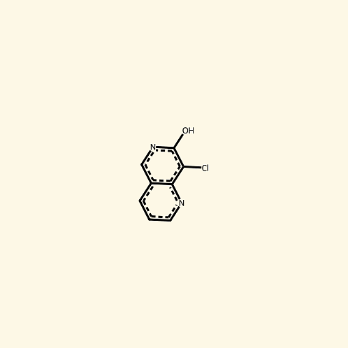 Oc1ncc2cccnc2c1Cl